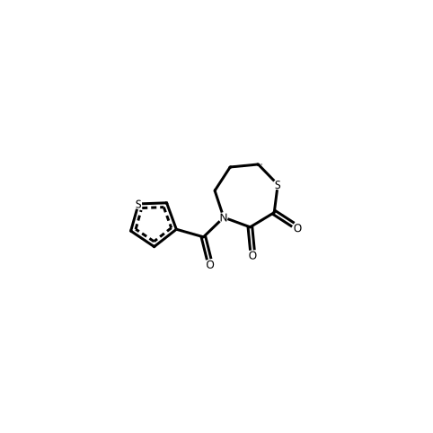 O=C1S[CH]CCN(C(=O)c2ccsc2)C1=O